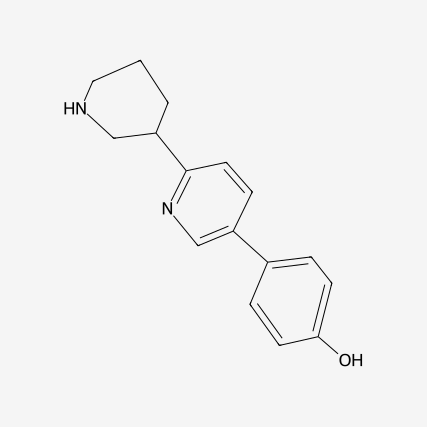 Oc1ccc(-c2ccc(C3CCCNC3)nc2)cc1